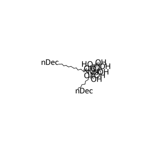 CCCCCCCCCCCCCCCCCCCCC[C@@H](O)C(=O)N[C@@H](C(O)[C@@H]1O[C@H](CO)[C@@H](O)[C@H](O)[C@H]1O)[C@H](O)CCCCCCCCCCCCCCCCC